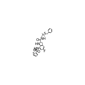 CC(C)(CNC(=O)C1Cc2cc(F)cc(NS(=O)(=O)c3cccs3)c2N1)SCc1ccccc1